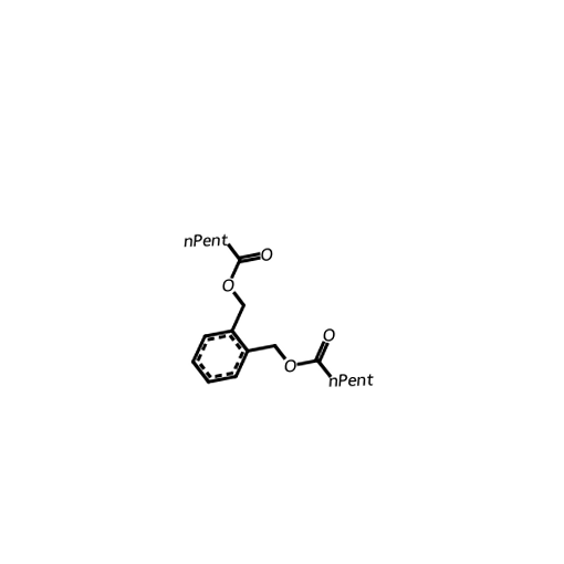 CCCCCC(=O)OCc1ccccc1COC(=O)CCCCC